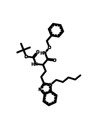 CCCCCn1c(CCC(NC(=O)OC(C)(C)C)C(=O)NOCc2ccccc2)nc2ccccc21